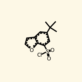 CC(C)(C)c1cc(S(=O)(=O)Cl)c2occc2c1